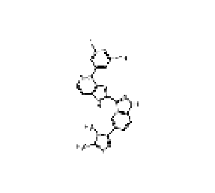 Cc1ncc(-c2ccc3[nH]nc(-c4cc5c(-c6cc(O)cc(F)c6)nccc5[nH]4)c3c2)n1C